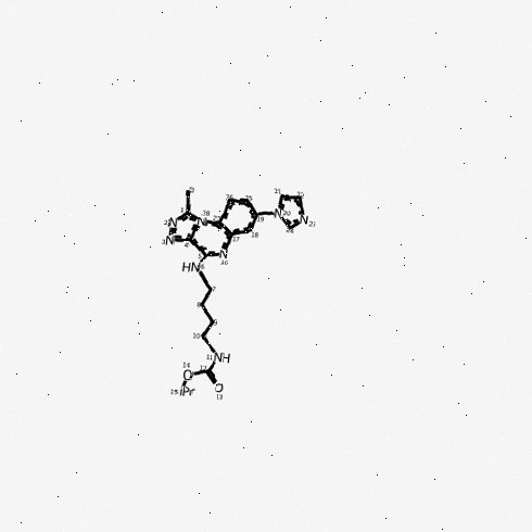 Cc1nnc2c(NCCCCNC(=O)OC(C)C)nc3cc(-n4ccnc4)ccc3n12